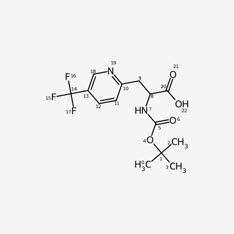 CC(C)(C)OC(=O)NC(Cc1ccc(C(F)(F)F)cn1)C(=O)O